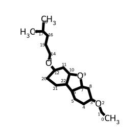 CCOC1CCC2C(C1)OC1CC(OCCCC(C)C)CCC12